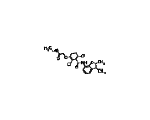 CCOC(=O)COc1ccc(Cl)c(C(=O)Nc2cccc3c(C)c(C)oc23)c1Cl